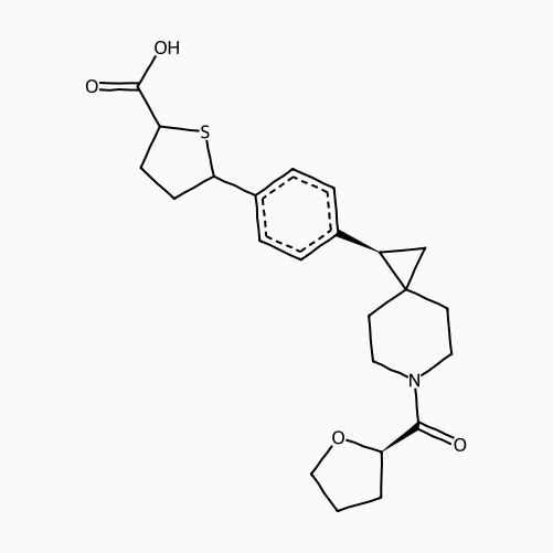 O=C(O)C1CCC(c2ccc([C@H]3CC34CCN(C(=O)[C@H]3CCCO3)CC4)cc2)S1